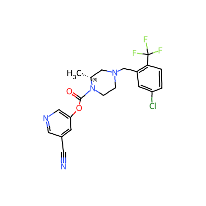 C[C@@H]1CN(Cc2cc(Cl)ccc2C(F)(F)F)CCN1C(=O)Oc1cncc(C#N)c1